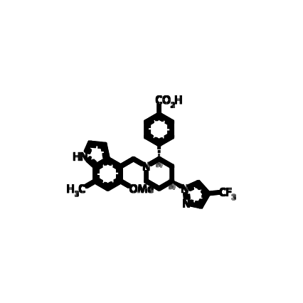 COc1cc(C)c2[nH]ccc2c1CN1CC[C@H](n2cc(C(F)(F)F)cn2)C[C@H]1c1ccc(C(=O)O)cc1